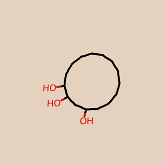 OC1CCCCCCCCCCCC(O)C(O)C1